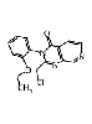 CCOc1ccccc1-n1c(CCl)nc2cnccc2c1=O